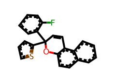 Fc1ccccc1C1(c2cccs2)C=Cc2c(ccc3ccccc23)O1